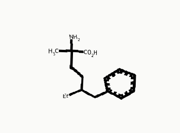 CCC(CCC(C)(N)C(=O)O)Cc1ccccc1